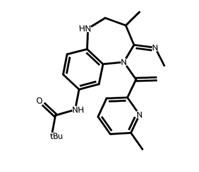 C=C(c1cccc(C)n1)N1/C(=N\C)C(C)CNc2ccc(NC(=O)C(C)(C)C)cc21